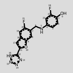 Oc1ccc(NCc2cc3oc(-c4nnn[nH]4)cc3cc2F)cc1F